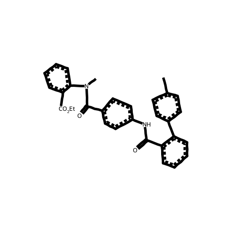 CCOC(=O)c1ccccc1N(C)C(=O)c1ccc(NC(=O)c2ccccc2-c2ccc(C)cc2)cc1